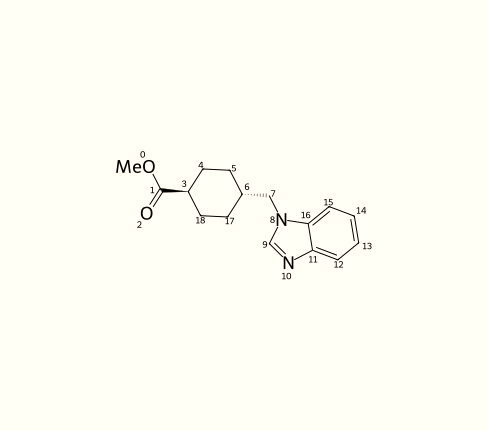 COC(=O)[C@H]1CC[C@H](Cn2cnc3ccccc32)CC1